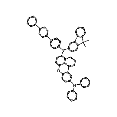 CC1(C)c2ccccc2-c2cc(N(c3ccc(-c4ccc(-c5ccccc5)cc4)cc3)c3ccc4c5c(cccc35)-c3cc(N(c5ccccc5)c5ccccc5)ccc3O4)ccc21